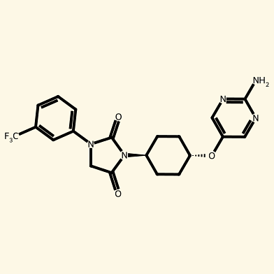 Nc1ncc(O[C@H]2CC[C@H](N3C(=O)CN(c4cccc(C(F)(F)F)c4)C3=O)CC2)cn1